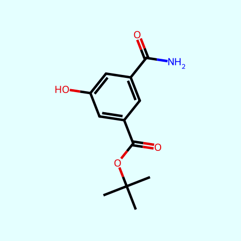 CC(C)(C)OC(=O)c1cc(O)cc(C(N)=O)c1